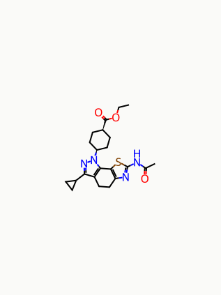 CCOC(=O)[C@H]1CC[C@@H](n2nc(C3CC3)c3c2-c2sc(NC(C)=O)nc2CC3)CC1